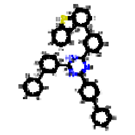 c1ccc(-c2ccc(C3=NC(c4cccc(-c5cccc6sc7ccccc7c56)c4)NC(c4cccc(-c5ccccc5)c4)=N3)cc2)cc1